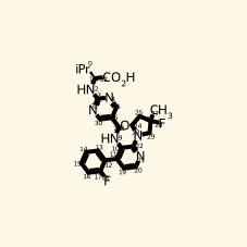 CC(C)[C@H](Nc1ncc(C(=O)Nc2c(-c3ccccc3F)ccnc2N2CCC(C)(F)C2)cn1)C(=O)O